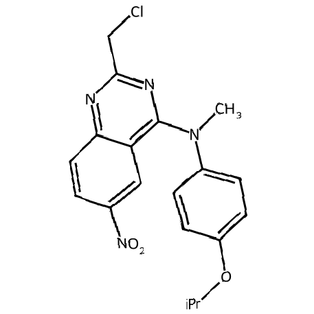 CC(C)Oc1ccc(N(C)c2nc(CCl)nc3ccc([N+](=O)[O-])cc23)cc1